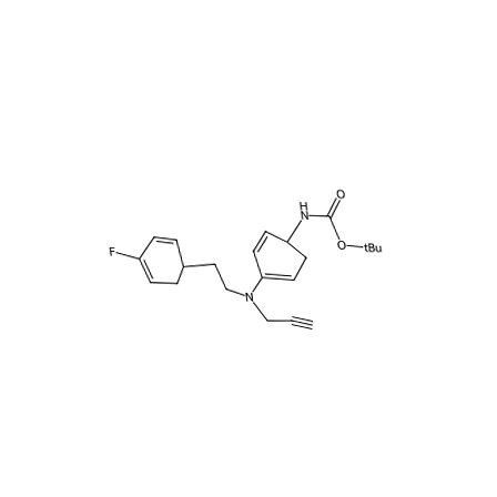 C#CCN(CCC1C=CC(F)=CC1)C1=CCC(NC(=O)OC(C)(C)C)C=C1